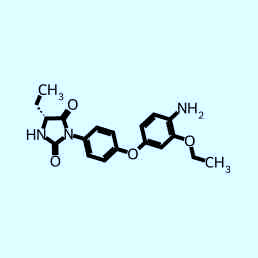 CCOc1cc(Oc2ccc(N3C(=O)N[C@H](CC)C3=O)cc2)ccc1N